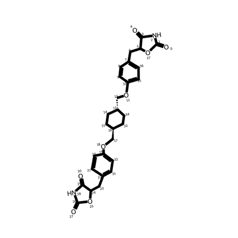 O=C1NC(=O)C(Cc2ccc(OC[C@H]3CC[C@H](COc4ccc(CC5OC(=O)NC5=O)cc4)CC3)cc2)O1